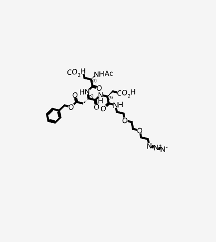 CC(=O)N[C@@H](CC(=O)O)C(=O)N[C@@H](CC(=O)OCc1ccccc1)C(=O)N[C@@H](CC(=O)O)C(=O)NCCOCCOCCN=[N+]=[N-]